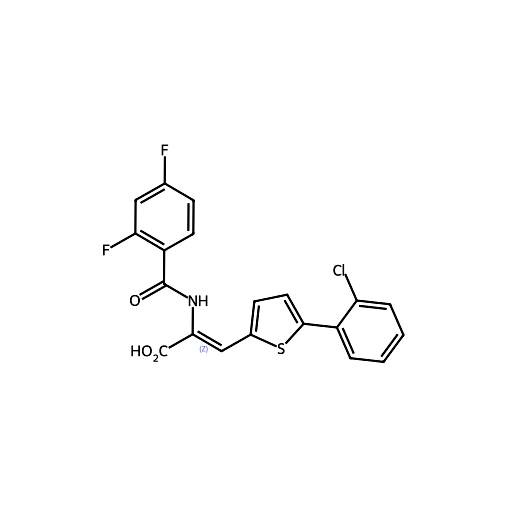 O=C(O)/C(=C/c1ccc(-c2ccccc2Cl)s1)NC(=O)c1ccc(F)cc1F